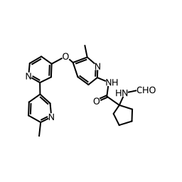 Cc1ccc(-c2cc(Oc3ccc(NC(=O)C4(NC=O)CCCC4)nc3C)ccn2)cn1